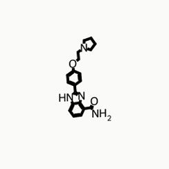 NC(=O)c1cccc2[nH]c(-c3ccc(OCCN4CCCC4)cc3)nc12